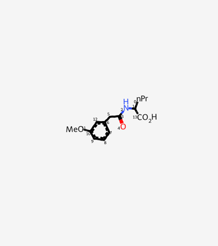 CCCC(NC(=O)Cc1cccc(OC)c1)C(=O)O